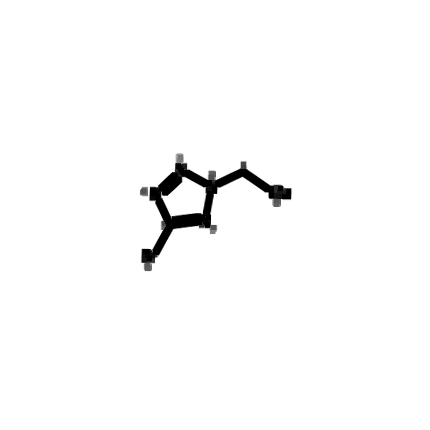 CC(C)(C)Cn1nnc(Br)n1